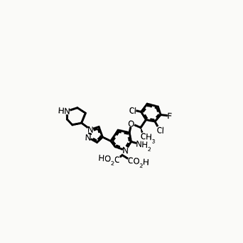 C[C@@H](Oc1cc(-c2cnn(C3CCNCC3)c2)cnc1N)c1c(Cl)ccc(F)c1Cl.O=C(O)CC(=O)O